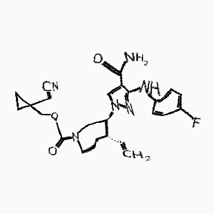 C=C[C@@H]1CCN(C(=O)OCC2(CC#N)CC2)C[C@H]1n1cc(C(N)=O)c(Nc2ccc(F)cc2)n1